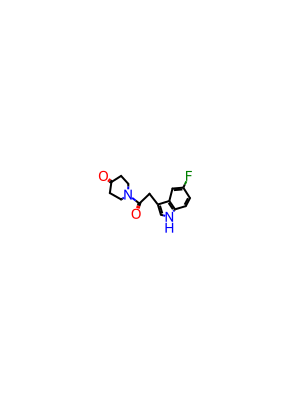 O=C1CCN(C(=O)Cc2c[nH]c3ccc(F)cc23)CC1